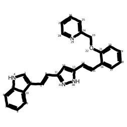 C(=Cc1c[nH]c2ccccc12)c1cc(C=Cc2ccccc2OCc2ccccn2)[nH]n1